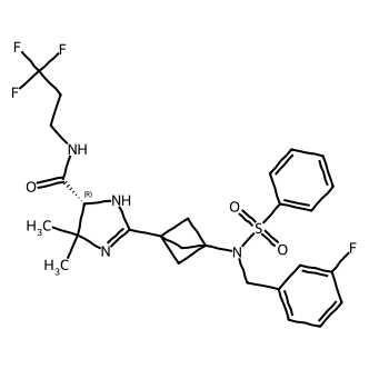 CC1(C)N=C(C23CC(N(Cc4cccc(F)c4)S(=O)(=O)c4ccccc4)(C2)C3)N[C@H]1C(=O)NCCC(F)(F)F